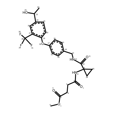 COC(=O)CCC(=O)NC1(C(=O)NCc2ccc(Oc3ccc(C(C)O)cc3C(F)(F)F)cc2)CC1